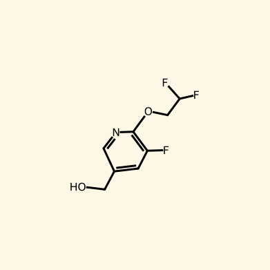 OCc1cnc(OCC(F)F)c(F)c1